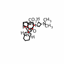 CN(C)[C@@H]1CN(c2nc3ccccc3n(C3C[C@H]4CCC[C@H](C3)N4[C@@H]3CC4CCCC[C@@H](C4)C3)c2=O)[C@@H]1C(=O)O